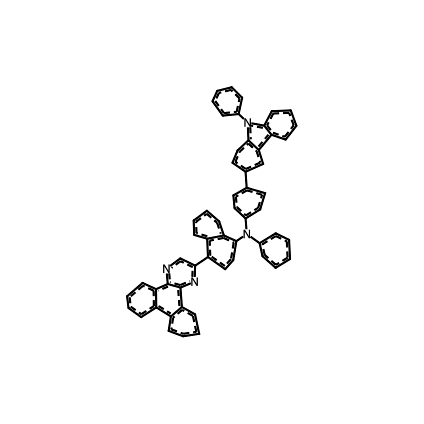 c1ccc(N(c2ccc(-c3ccc4c(c3)c3ccccc3n4-c3ccccc3)cc2)c2ccc(-c3cnc4c5ccccc5c5ccccc5c4n3)c3ccccc23)cc1